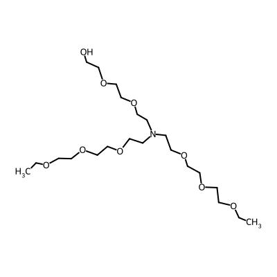 CCOCCOCCOCCN(CCOCCOCCO)CCOCCOCCOCC